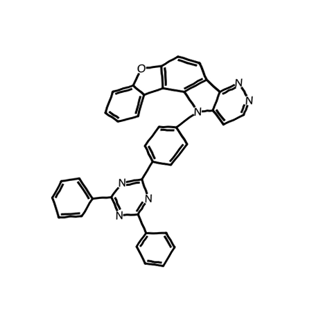 c1ccc(-c2nc(-c3ccccc3)nc(-c3ccc(-n4c5ccnnc5c5ccc6oc7ccccc7c6c54)cc3)n2)cc1